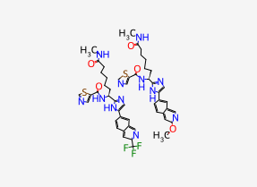 CNC(=O)CCCCC[C@H](NC(=O)c1cncs1)c1ncc(-c2ccc3cc(C(F)(F)F)ncc3c2)[nH]1.CNC(=O)CCCCC[C@H](NC(=O)c1cncs1)c1ncc(-c2ccc3cc(OC)ncc3c2)[nH]1